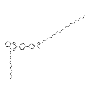 CCCCCCCCCCCCCCCCCCCCOC(C)c1ccc(-c2ccc(C(=O)Oc3ccccc3CCCCCCCCCCCC)cc2)cc1